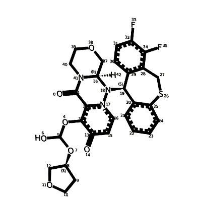 O=C1c2c(OC(O)O[C@H]3CCOC3)c(=O)ccn2N([C@@H]2c3ccccc3SCc3c2ccc(F)c3F)[C@@H]2COCCN12